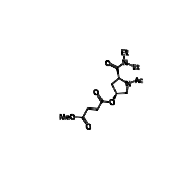 CCN(CC)C(=O)[C@@H]1C[C@H](OC(=O)/C=C/C(=O)OC)CN1C(C)=O